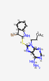 CC(=O)OCCn1c(SC2Nc3ccccc3C2Br)nc2c(NN)ncnc21